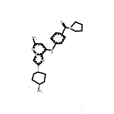 Nc1cc(Nc2ccc(C(=O)N3CCCC3)cc2)c2nc([C@H]3CC[C@H](N)CC3)cn2n1